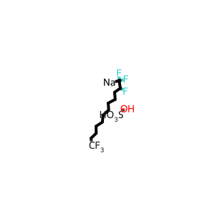 FC(CCCCCCCCCC(F)(F)F)[C](F)(F)[Na].O=S(=O)(O)O